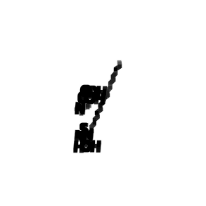 CCCCCCCCCCCCCCCCCCCCN(CCO)C(=S)NC.C[N+](C)(C)CCOP(=O)(O)O